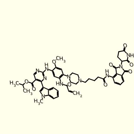 C=CC(=O)Nc1cc(Nc2ncc(C(=O)OC(C)C)c(-c3cn(C)c4ccccc34)n2)c(OC)cc1N1CCN(CCCCC(=O)Nc2cccc3c2C(=O)N(C2CCC(=O)NC2=O)C3=O)CC1